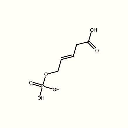 O=C(O)CC=CCOP(=O)(O)O